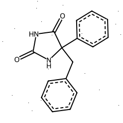 O=C1NC(=O)C(Cc2ccccc2)(c2ccccc2)N1